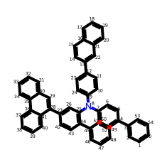 c1ccc(-c2ccc(N(c3ccc(-c4ccc5ccccc5c4)cc3)c3cc(-c4cc5ccccc5c5ccccc45)ccc3-c3ccccc3)cc2)cc1